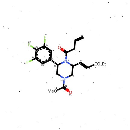 C=CCC(=O)N1C(C=CC(=O)OCC)CN(C(=O)OC)CC1c1cc(F)c(F)c(F)c1